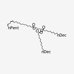 CCCCC/C=C\C/C=C\CCCCCCCCCCCC(=O)OC[C@@H](COC(=O)CCCCCCCCCCCCCCCCCC)OC(=O)CCCCCCCCCCCCCCCCCCCC